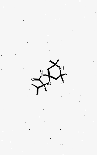 CC(C)C1(C)OC2(CC(C)(C)NC(C)(C)C2)NC1=O